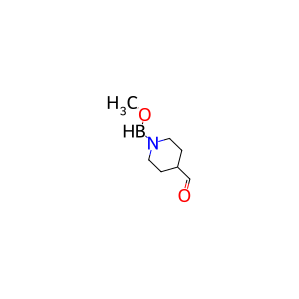 COBN1CCC(C=O)CC1